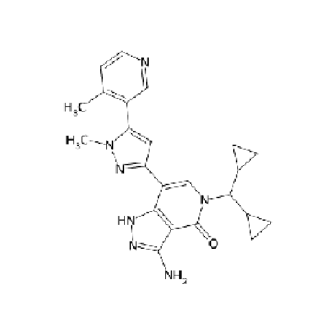 Cc1ccncc1-c1cc(-c2cn(C(C3CC3)C3CC3)c(=O)c3c(N)n[nH]c23)nn1C